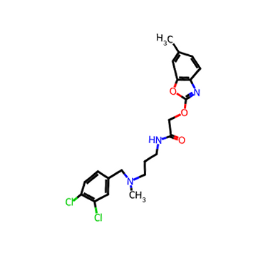 Cc1ccc2nc(OCC(=O)NCCCN(C)Cc3ccc(Cl)c(Cl)c3)oc2c1